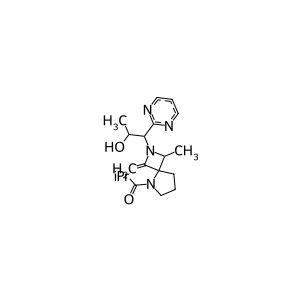 C=C1N(C(c2ncccn2)C(C)O)C(C)C12CCCN2C(=O)C(C)C